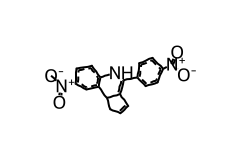 O=[N+]([O-])c1ccc(C2=C3C=CCC3c3cc([N+](=O)[O-])ccc3N2)cc1